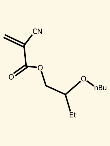 C=C(C#N)C(=O)OCC(CC)OCCCC